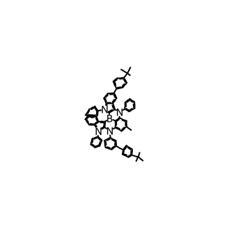 Cc1cc2c3c(c1)N(c1cccc(-c4ccc(C(C)(C)C)cc4)c1)c1c(c4ccccc4n1-c1ccccc1)B3c1c(c3cc(-c4ccc(C(C)(C)C)cc4)ccc3n1-c1ccccc1)N2c1ccccc1